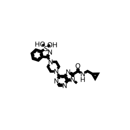 Cn1c(C(=O)NCC2CC2)nc2c(N3CCN(C4=NS(O)(O)c5ccccc54)CC3)ncnc21